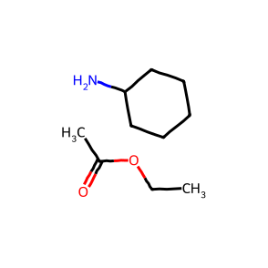 CCOC(C)=O.NC1CCCCC1